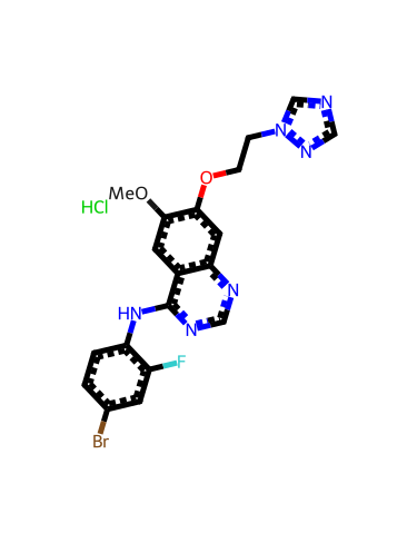 COc1cc2c(Nc3ccc(Br)cc3F)ncnc2cc1OCCn1cncn1.Cl